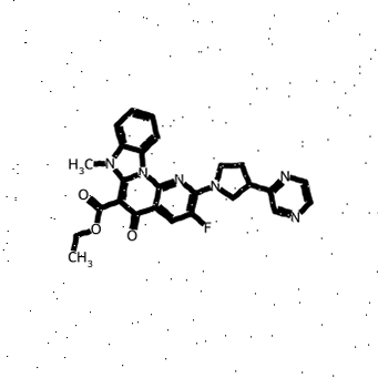 CCOC(=O)c1c(=O)c2cc(F)c(N3CCC(c4cnccn4)C3)nc2n2c3ccccc3n(C)c12